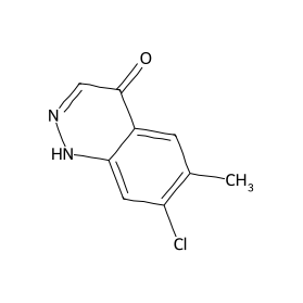 Cc1cc2c(=O)cn[nH]c2cc1Cl